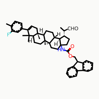 Cc1ccc(C2=CC[C@]3(C)[C@H]4CC[C@@H]5[C@H]6[C@H](C(C)C=O)CC[C@]6(NC(=O)OCC6c7ccccc7-c7ccccc76)CC[C@@]5(C)[C@]4(C)CC[C@H]3C2(C)C)cc1F